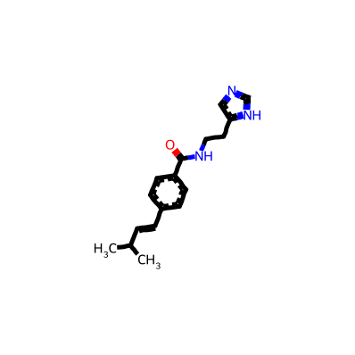 CC(C)/C=C/c1ccc(C(=O)NCCc2cnc[nH]2)cc1